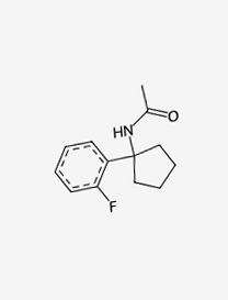 CC(=O)NC1(c2ccccc2F)CCCC1